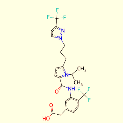 CC(C)n1c(CCCn2ccc(C(F)(F)F)n2)ccc1C(=O)Nc1cc(CC(=O)O)ccc1C(F)(F)F